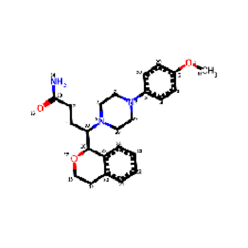 COc1ccc(N2CCN(C(CCC(N)=O)C3OCCc4ccccc43)CC2)cc1